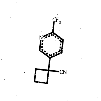 N#CC1(c2ccc(C(F)(F)F)nc2)CCC1